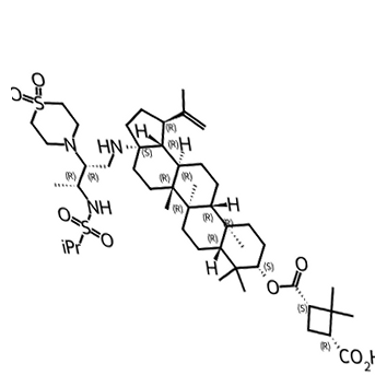 C=C(C)[C@@H]1CC[C@]2(NC[C@H]([C@@H](C)NS(=O)(=O)C(C)C)N3CCS(=O)(=O)CC3)CC[C@]3(C)[C@H](CC[C@@H]4[C@@]5(C)CC[C@H](OC(=O)[C@H]6C[C@@H](C(=O)O)C6(C)C)C(C)(C)[C@@H]5CC[C@]43C)[C@@H]12